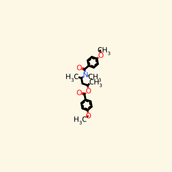 COc1ccc(C(=O)OC(C)CC(C)N(C)C(=O)c2ccc(OC)cc2)cc1